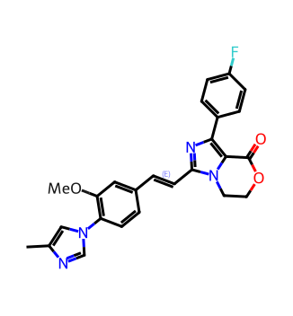 COc1cc(/C=C/c2nc(-c3ccc(F)cc3)c3n2CCOC3=O)ccc1-n1cnc(C)c1